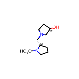 O=C(O)N1CCC[C@H]1CN1CC[C@@H](O)C1